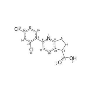 O=C(O)C1CCc2nc(-c3ccc(Cl)cc3Cl)ccc21